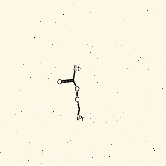 C[CH]C(=O)OCCC(C)C